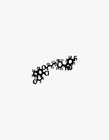 O=C1CCc2c(Cl)c(OCCCCN3CCC(c4noc5cc(F)ccc45)CC3)cc3c2N1CC3